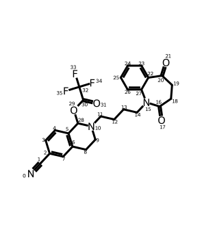 N#Cc1ccc2c(c1)CCN(CCCCN1C(=O)CCC(=O)c3ccccc31)C2OC(=O)C(F)(F)F